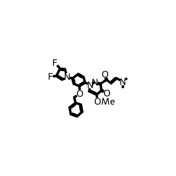 COc1cn(-c2ccc(-n3cc(F)c(F)c3)cc2OCc2ccccc2)nc(C(=O)C=CN(C)C)c1=O